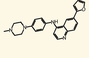 CN1CCN(c2ccc(Nc3ccnc4ccc(-c5ccco5)cc34)cc2)CC1